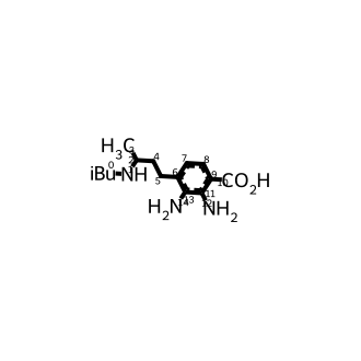 CCC(C)NC(C)CCc1ccc(C(=O)O)c(N)c1N